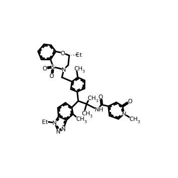 CC[C@@H]1CN(Cc2cc(C(c3ccc4c(nnn4CC)c3C)C(C)(C)NC(=O)c3ccn(C)c(=O)c3)ccc2C)S(=O)(=O)c2ccccc2O1